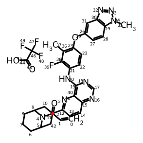 C=CC(=O)N1C2CCCC1CC(c1ccc3ncnc(Nc4ccc(Oc5ccc6c(c5)nnn6C)c(C)c4F)c3n1)C2.O=C(O)C(F)(F)F